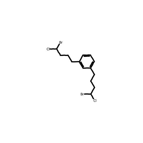 ClC(Br)CCCc1cccc(CCCC(Cl)Br)c1